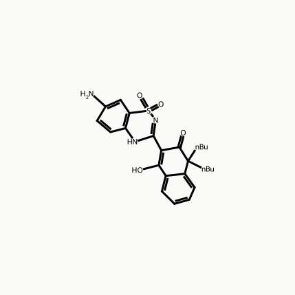 CCCCC1(CCCC)C(=O)C(C2=NS(=O)(=O)c3cc(N)ccc3N2)=C(O)c2ccccc21